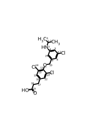 CC(C)Nc1cc(Cl)cc(COc2c(Cl)cc(CCC(=O)O)cc2Cl)c1